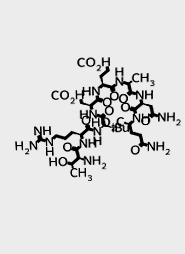 CC[C@H](C)[C@H](NC(=O)[C@H](CCCNC(=N)N)NC(=O)[C@@H](N)[C@@H](C)O)C(=O)N[C@@H](CC(=O)O)C(=O)N[C@@H](CCC(=O)O)C(=O)N[C@@H](C)C(=O)N[C@@H](CC(N)=O)C(=O)N[C@@H](CCC(N)=O)C(=O)O